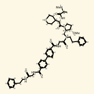 CN[C@@H](C)C(=O)N[C@H](C(=O)N1CC[C@H](OC)[C@H]1CN(CCc1ccccc1)C(=O)CNC(=O)c1ccc(-c2ccc(C(=O)NCC(=O)NCCc3ccccc3)cc2)cc1)C1CCOCC1